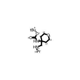 CC(C)NCC1(NC(=O)OC(C)(C)C)CCOCC1